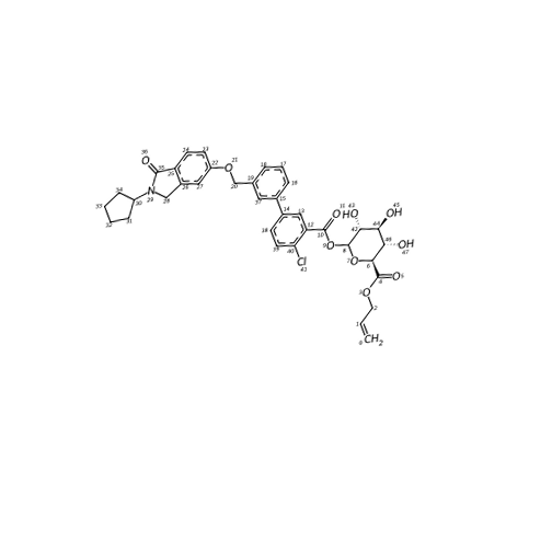 C=CCOC(=O)[C@H]1OC(OC(=O)c2cc(-c3cccc(COc4ccc5c(c4)CN(C4CCCC4)C5=O)c3)ccc2Cl)[C@H](O)[C@@H](O)[C@@H]1O